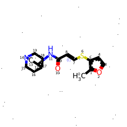 Cc1occc1S/C=C/C(=O)NC1CN2CCC1CC2